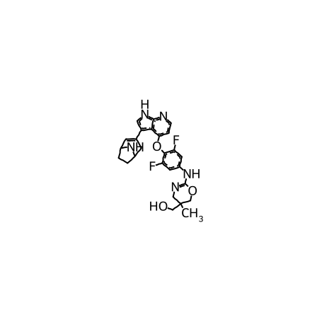 CC1(CO)CN=C(Nc2cc(F)c(Oc3ccnc4[nH]cc(C5=CC6CCC(C5)N6)c34)c(F)c2)OC1